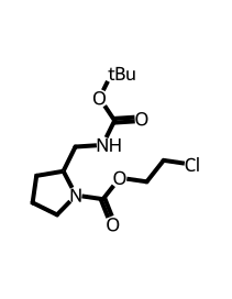 CC(C)(C)OC(=O)NCC1CCCN1C(=O)OCCCl